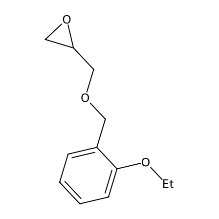 CCOc1ccccc1COCC1CO1